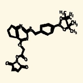 CC1(C)OB(c2ccc(CSc3nc4c(c(OCC(=O)ON5C(=O)CCC5=O)n3)CCC4)cc2)OC1(C)C